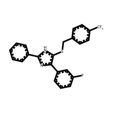 Fc1cccc(-c2nc(-c3ccccc3)[nH]c2SCc2ccc(C(F)(F)F)cc2)c1